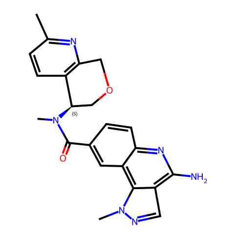 Cc1ccc2c(n1)COC[C@H]2N(C)C(=O)c1ccc2nc(N)c3cnn(C)c3c2c1